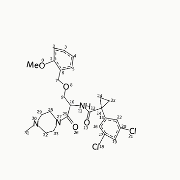 COc1ccccc1COCC(NC(=O)C1(c2cc(Cl)cc(Cl)c2)CC1)C(=O)N1CCN(C)CC1